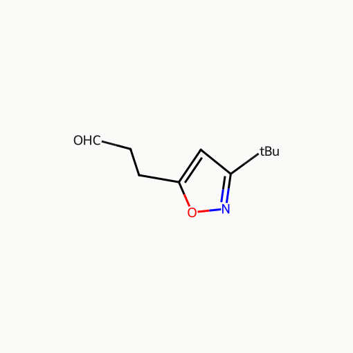 CC(C)(C)c1cc(CCC=O)on1